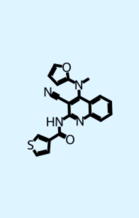 CN(c1ccco1)c1c(C#N)c(NC(=O)c2ccsc2)nc2ccccc12